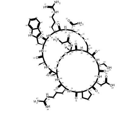 C[C@@H]1NC(=O)[C@@H]2CSSC[C@H](NC(=O)CN)C(=O)N[C@@H](CCCC[C@@H](C(N)=O)NC(=O)[C@H](CCCNC(=N)N)NC(=O)[C@H](Cc3cc4ccccc4[nH]3)NC1=O)C(=O)N[C@@H](CO)C(=O)N[C@@H](CC(=O)O)C(=O)N1CCCC1C(=O)N[C@@H](CCCNC(=N)N)C(=O)N2